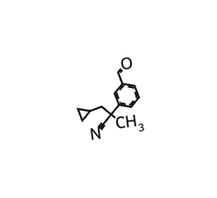 CC(C#N)(CC1CC1)c1cccc(C=O)c1